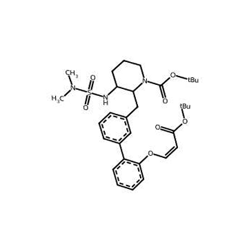 CN(C)S(=O)(=O)NC1CCCN(C(=O)OC(C)(C)C)C1Cc1cccc(-c2ccccc2O/C=C\C(=O)OC(C)(C)C)c1